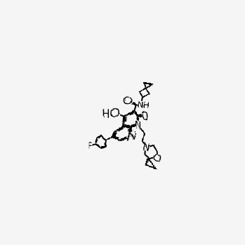 O=C(NC1CC2(CC2)C1)c1c(O)c2cc(-c3ccc(F)cc3)cnc2n(CCN2CCOC3(CC3)C2)c1=O